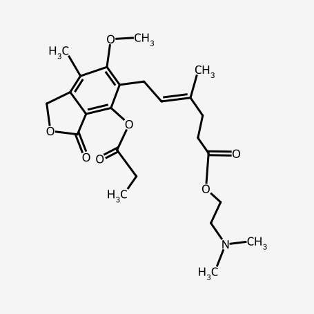 CCC(=O)Oc1c(C/C=C(\C)CCC(=O)OCCN(C)C)c(OC)c(C)c2c1C(=O)OC2